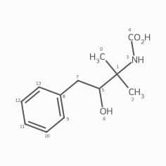 CC(C)(NC(=O)O)C(O)Cc1ccccc1